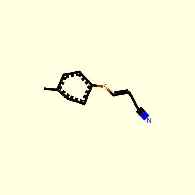 Cc1ccc(S/C=C/C#N)cc1